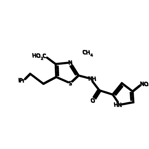 C.CC(C)CCc1sc(NC(=O)c2cc([N+](=O)[O-])c[nH]2)nc1C(=O)O